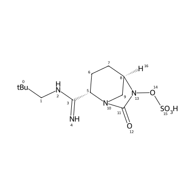 CC(C)(C)CNC(=N)[C@@H]1CC[C@@H]2CN1C(=O)N2OS(=O)(=O)O